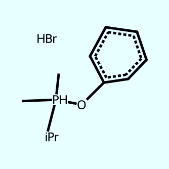 Br.CC(C)[PH](C)(C)Oc1ccccc1